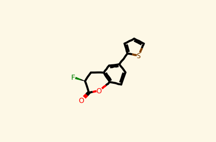 O=C1Oc2ccc(-c3cccs3)cc2C[C@@H]1F